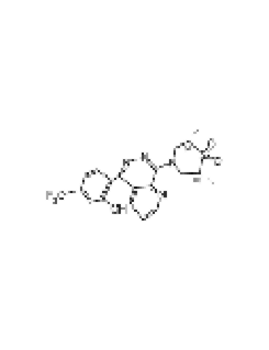 C[C@@H]1CN(c2nnc(-c3ccc(C(F)(F)F)cc3O)c3cccnc23)C[C@H](C)S1(=O)=O